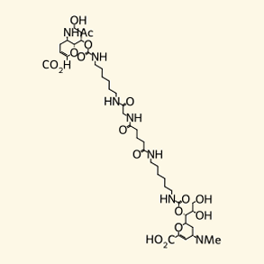 CN[C@H]1C=C(C(=O)O)OC([C@H](OC(=O)NCCCCCCNC(=O)CCCC(=O)NCC(=O)NCCCCCCNC(=O)O[C@H](CCO)[C@@H]2OC(C(=O)O)=CC[C@H]2NC(C)=O)[C@H](O)CO)C1